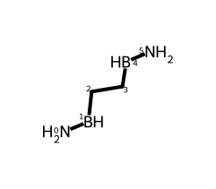 NBCCBN